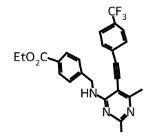 CCOC(=O)c1ccc(CNc2nc(C)nc(C)c2C#Cc2ccc(C(F)(F)F)cc2)cc1